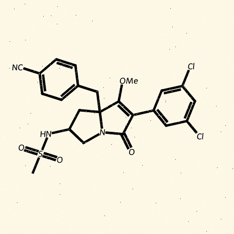 COC1=C(c2cc(Cl)cc(Cl)c2)C(=O)N2CC(NS(C)(=O)=O)CC12Cc1ccc(C#N)cc1